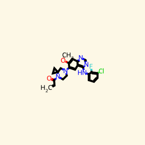 C=CC(=O)N1CCN(c2cc3c(Nc4cccc(Cl)c4F)ncnc3cc2OC)CC12CC2